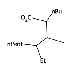 CCCCCC(CC)C(C)C(CCCC)C(=O)O